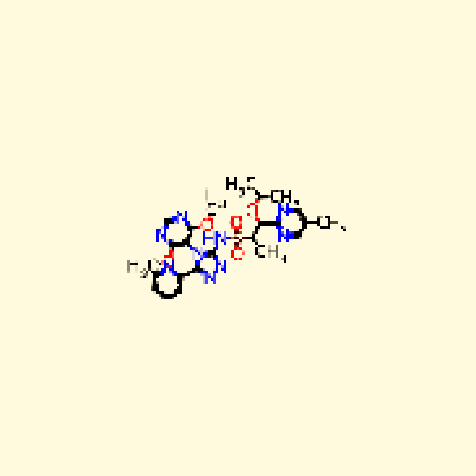 COc1ncnc(OC)c1-n1c(NS(=O)(=O)C(C)C(OC(C)C)c2ncc(C)cn2)nnc1-c1ccccn1